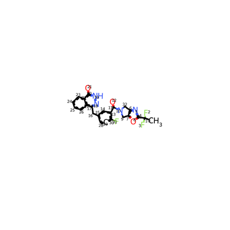 CC(F)(F)c1nc2c(o1)CN(C(=O)c1cc(Cc3n[nH]c(=O)c4ccccc34)ccc1F)C2